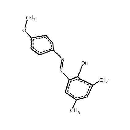 [CH2]c1cc(C)cc(N=Nc2ccc(OC)cc2)c1O